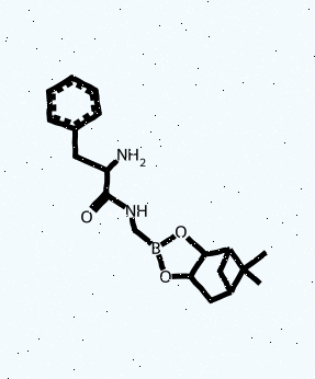 CC1(C)C2CC3OB(CNC(=O)C(N)Cc4ccccc4)OC3C1C2